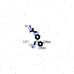 COc1cc(OC)cc(N(CCNC(C)C)c2ccc3ncc(-c4cnn(C)c4)nc3c2)c1.Cl